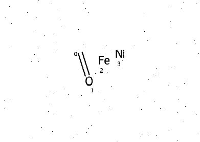 C=O.[Fe].[Ni]